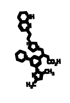 Cc1cc(C)n(-c2cc(C(CC(=O)O)CN3CC[C@@H](CCc4ccc5c(n4)NCCC5)C3)cc(N3CCCCC3)c2)n1